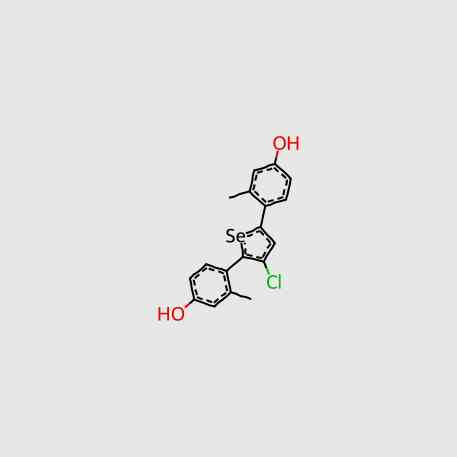 Cc1cc(O)ccc1-c1cc(Cl)c(-c2ccc(O)cc2C)[se]1